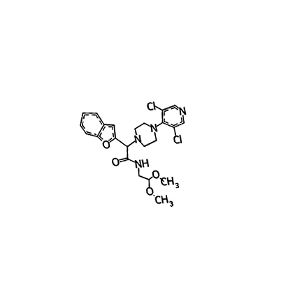 COC(CNC(=O)C(c1cc2ccccc2o1)N1CCN(c2c(Cl)cncc2Cl)CC1)OC